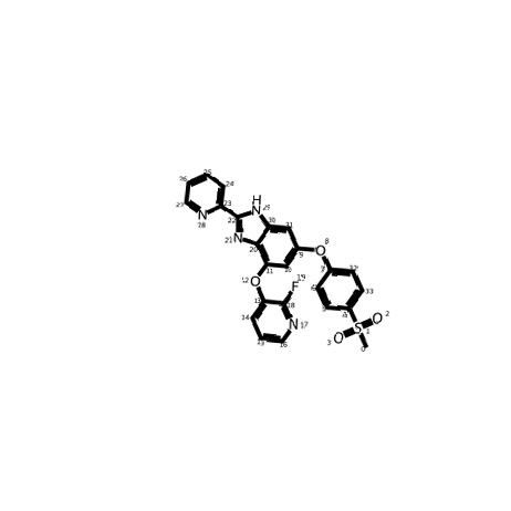 CS(=O)(=O)c1ccc(Oc2cc(Oc3cccnc3F)c3nc(-c4ccccn4)[nH]c3c2)cc1